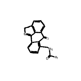 CCCC(=O)Nc1cccc2c1C(=O)c1cccc3c1C2=NC3